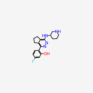 Oc1cc(F)ccc1-c1nnc(N[C@@H]2CCCNC2)c2c1CCC2